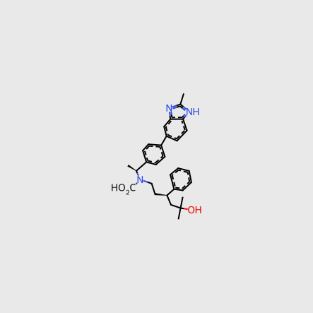 Cc1nc2cc(-c3ccc([C@H](C)N(CC[C@H](CC(C)(C)O)c4ccccc4)C(=O)O)cc3)ccc2[nH]1